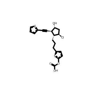 O=C(O)Oc1ccc(CCC[C@@H]2[C@@H](C#Cc3cccs3)[C@H](O)C[C@H]2Cl)s1